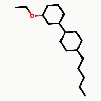 CCCCC[C@H]1CC[C@@H]([C@@H]2CCC[C@@H](OCC)C2)CC1